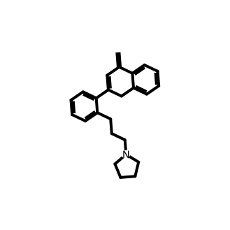 C=C1C=C(c2ccccc2CCCN2CCCC2)Cc2ccccc21